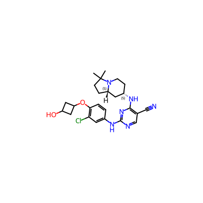 CC1(C)CC[C@H]2C[C@@H](Nc3nc(Nc4ccc(OC5CC(O)C5)c(Cl)c4)ncc3C#N)CCN21